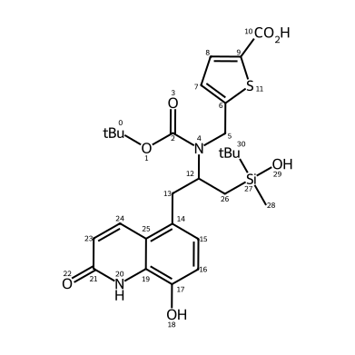 CC(C)(C)OC(=O)N(Cc1ccc(C(=O)O)s1)C(Cc1ccc(O)c2[nH]c(=O)ccc12)C[Si](C)(O)C(C)(C)C